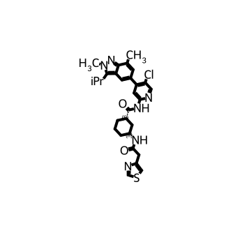 Cc1cc(-c2cc(NC(=O)[C@H]3CCC[C@@H](NC(=O)Cc4cscn4)C3)ncc2Cl)cc2c(C(C)C)n(C)nc12